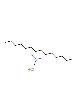 CCCCCCCCCCCCCC.CN(C)C.Cl